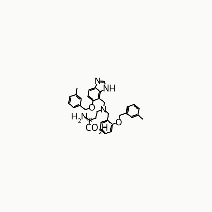 Cc1cccc(COc2ccccc2CN(CC[C@H](N)C(=O)O)Cc2c(OCc3cccc(C)c3)ccc3nc[nH]c23)c1